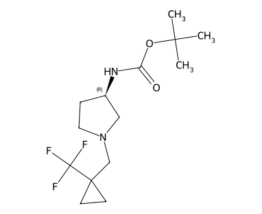 CC(C)(C)OC(=O)N[C@@H]1CCN(CC2(C(F)(F)F)CC2)C1